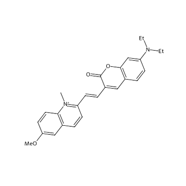 CCN(CC)c1ccc2cc(/C=C/c3ccc4cc(OC)ccc4[n+]3C)c(=O)oc2c1